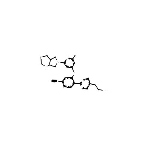 Cc1cc(Oc2cc(C#N)ccc2-c2ncc(CCN)cn2)cc(N2CC3CCCOC3C2)n1